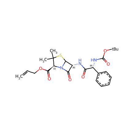 C=CCOC(=O)[C@@H]1N2C(=O)[C@@H](NC(=O)[C@H](NC(=O)OC(C)(C)C)c3ccccc3)C2SC1(C)C